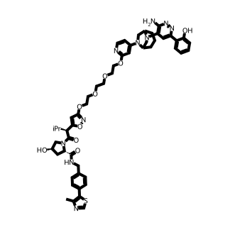 Cc1ncsc1-c1ccc(CNC(=O)[C@@H]2C[C@@H](O)CN2C(=O)[C@H](c2cc(OCCOCCOCCOc3cc(N4CC5CCCC4CN5c4cc(-c5ccccc5O)nnc4N)ccn3)no2)C(C)C)cc1